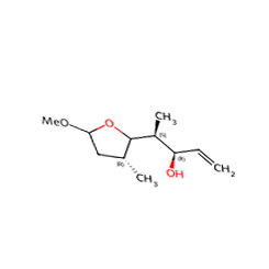 C=C[C@@H](O)[C@H](C)C1OC(OC)C[C@H]1C